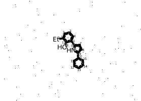 CCc1cccc(-c2ccc(-c3ccccc3)[nH]2)c1O